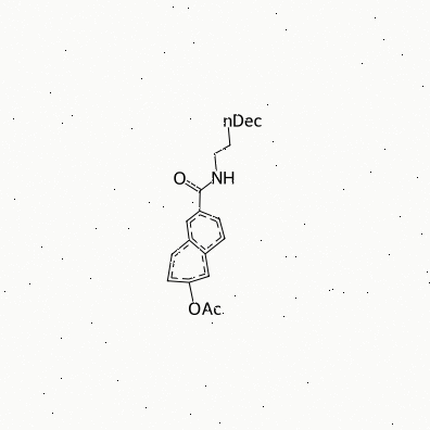 CCCCCCCCCCCCNC(=O)c1ccc2cc(OC(C)=O)ccc2c1